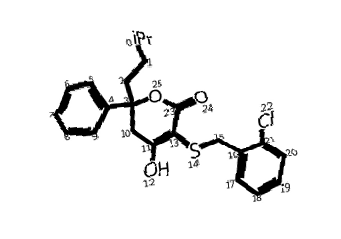 CC(C)CCC1(c2ccccc2)CC(O)=C(SCc2ccccc2Cl)C(=O)O1